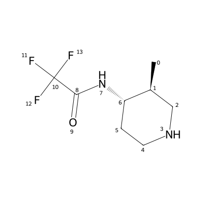 C[C@H]1CNCC[C@@H]1NC(=O)C(F)(F)F